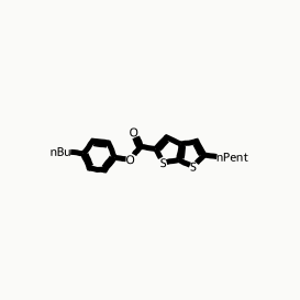 CCCCCc1cc2cc(C(=O)Oc3ccc(CCCC)cc3)sc2s1